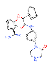 N=C(N)c1cccc(OC(C(=O)Nc2ccc(N3CCNCC3=O)cc2)c2ccccc2)c1